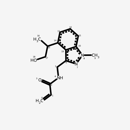 C=CC(=O)NCc1nn(C)c2cccc(C(C)CO)c12